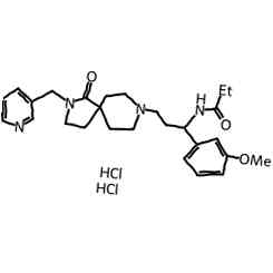 CCC(=O)NC(CCN1CCC2(CC1)CCN(Cc1cccnc1)C2=O)c1cccc(OC)c1.Cl.Cl